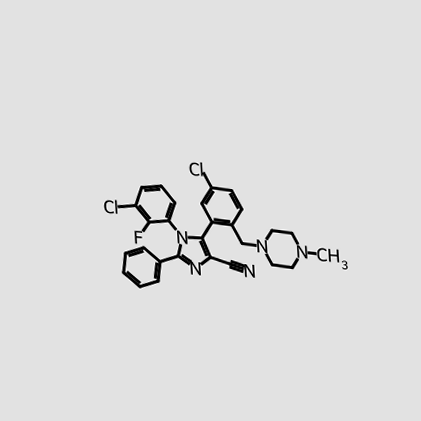 CN1CCN(Cc2ccc(Cl)cc2-c2c(C#N)nc(-c3ccccc3)n2-c2cccc(Cl)c2F)CC1